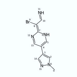 Cn1cc(C2=CN/C(=C(/Br)C=N)N=C2)cn1